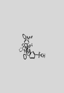 CCN(Nc1ccc(OC)cc1)C(=O)[C@@H]1CCCC[C@@H]1NC(=O)c1ccc(C(C)(C)O)cc1